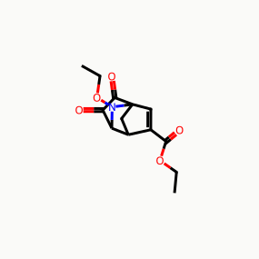 CCOC(=O)C1=CC23CC1C(C(=O)C2=O)N3OCC